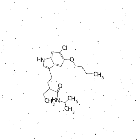 CCCCOc1cc2c(CCC(CC)C(=O)NC(C)C)c[nH]c2cc1Cl